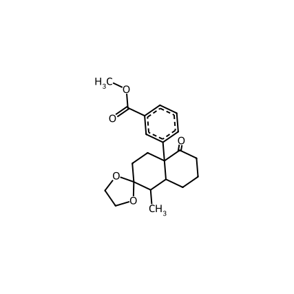 COC(=O)c1cccc(C23CCC4(OCCO4)C(C)C2CCCC3=O)c1